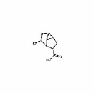 O=C(O)C1CC2C3OC(O)C1C23